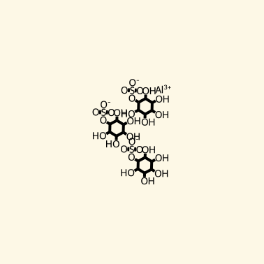 O=S(=O)([O-])OC1C(O)C(O)C(O)C(O)C1O.O=S(=O)([O-])OC1C(O)C(O)C(O)C(O)C1O.O=S(=O)([O-])OC1C(O)C(O)C(O)C(O)C1O.[Al+3]